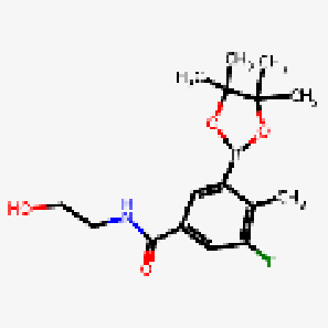 Cc1c(F)cc(C(=O)NCCO)cc1B1OC(C)(C)C(C)(C)O1